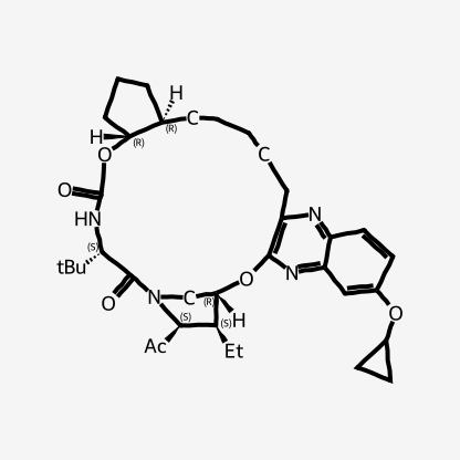 CC[C@@H]1[C@@H]2CN(C(=O)[C@H](C(C)(C)C)NC(=O)O[C@@H]3CCC[C@H]3CCCCCc3nc4ccc(OC5CC5)cc4nc3O2)[C@@H]1C(C)=O